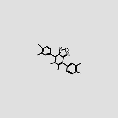 Cc1ccc(-c2c(C)c(C)c(-c3ccc(C)c(C)c3)c3nonc23)cc1C